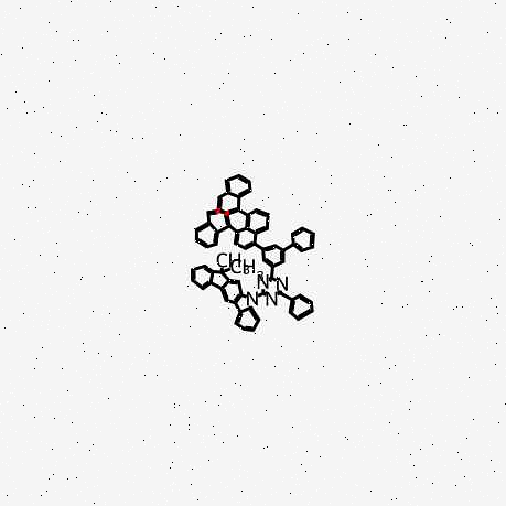 CC1(C)c2ccccc2-c2cc3c4ccccc4n(-c4nc(-c5ccccc5)nc(-c5cc(-c6ccccc6)cc(-c6ccc(-c7cccc8ccccc78)c7c(-c8cccc9ccccc89)cccc67)c5)n4)c3cc21